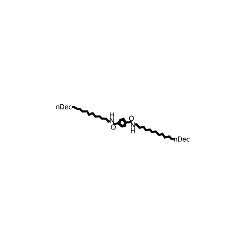 CCCCCCCCCCCCCCCCCCCCCCNC(=O)c1ccc(C(=O)NCCCCCCCCCCCCCCCCCCCCCC)cc1